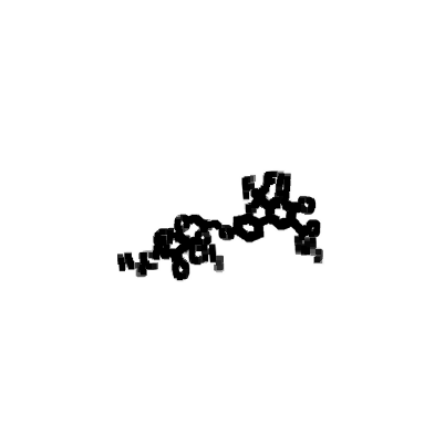 CN(C)C(=O)[C@@]1(C)COC[C@@H](COc2ccc(-c3cc(C(N)=O)c(=O)[nH]c3C(F)(F)F)cc2)O1